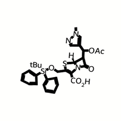 CC(=O)OC(c1cnn(C)c1)C1C(=O)N2C(C(=O)O)=C(CO[Si](c3ccccc3)(c3ccccc3)C(C)(C)C)S[C@H]12